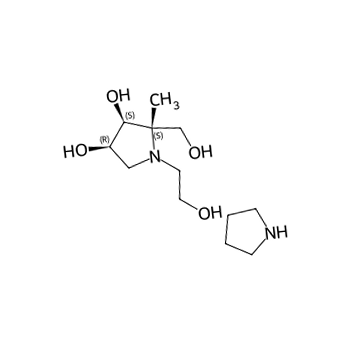 C1CCNC1.C[C@]1(CO)[C@H](O)[C@H](O)CN1CCO